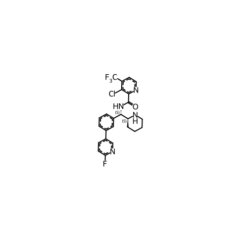 O=C(N[C@@H](c1cccc(-c2ccc(F)nc2)c1)[C@@H]1CCCCN1)c1nccc(C(F)(F)F)c1Cl